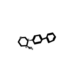 N[C@@H]1CCOC[C@@H]1c1ccc(-c2ccccc2)cc1